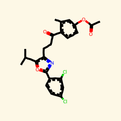 CC(=O)Oc1ccc(C(=O)CCc2nc(-c3ccc(Cl)cc3Cl)oc2C(C)C)c(C)c1